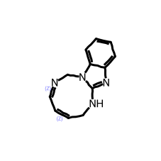 C1=C\CNc2nc3ccccc3n2C\N=C/1